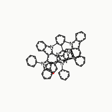 c1ccc(-c2nc(-c3ccccc3)nc(-c3c(-n4c5ccccc5c5ccccc54)cccc3-n3c4ccccc4c4c5c(c6ccccc6n5-c5ccccc5)c5c(c6ccccc6n5-c5ccccc5)c43)n2)cc1